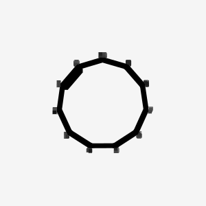 C1=CCCCCCCCCC1